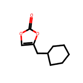 O=c1occ(CC2CCCCC2)o1